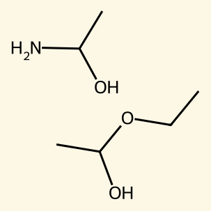 CC(N)O.CCOC(C)O